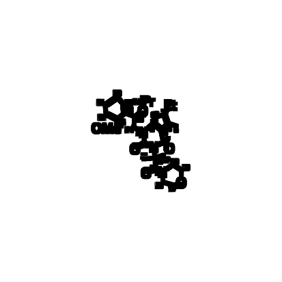 CCc1sc2c(c1C)c(=O)n(C(C)(C)C(=O)N1CCOCC1)c(=O)n2C[C@H](OC(C)C)c1ccccc1OC